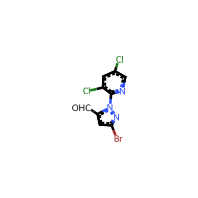 O=Cc1cc(Br)nn1-c1ncc(Cl)cc1Cl